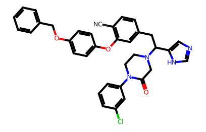 N#Cc1ccc(CC(c2cnc[nH]2)N2CCN(c3cccc(Cl)c3)C(=O)C2)cc1Oc1ccc(OCc2ccccc2)cc1